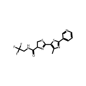 Cc1nc(-c2cccnc2)sc1C1=NC(C(=O)NCC(F)(F)F)CS1